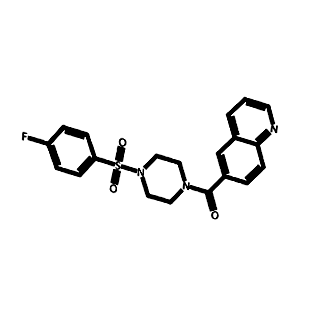 O=C(c1ccc2ncccc2c1)N1CCN(S(=O)(=O)c2ccc(F)cc2)CC1